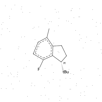 Cc1ccc(F)c2c1CC[C@@H]2C(C)(C)C